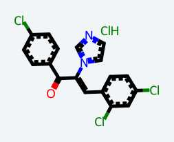 Cl.O=C(C(=Cc1ccc(Cl)cc1Cl)n1ccnc1)c1ccc(Cl)cc1